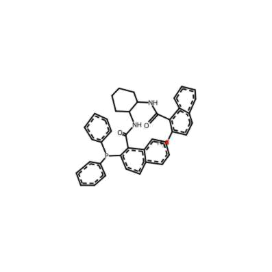 Cc1ccc2ccccc2c1C(=O)NC1CCCCC1NC(=O)c1c(P(c2ccccc2)c2ccccc2)ccc2ccccc12